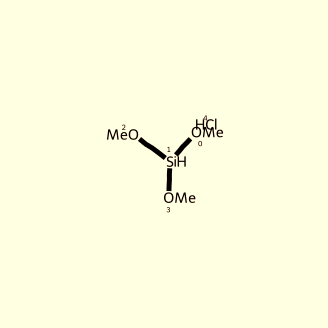 CO[SiH](OC)OC.Cl